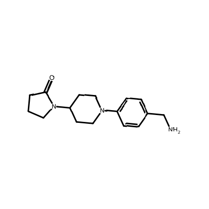 NCc1ccc(N2CCC(N3CCCC3=O)CC2)cc1